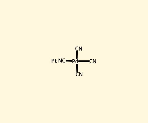 N#[C][Pd]([C]#N)([C]#N)[C]#N.[Pt]